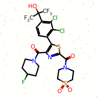 O=C(c1nc(C(=O)N2CCC(F)CC2)c(-c2ccc(C(O)(C(F)(F)F)C(F)(F)F)c(Cl)c2Cl)s1)N1CCS(=O)(=O)CC1